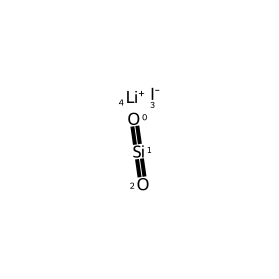 O=[Si]=O.[I-].[Li+]